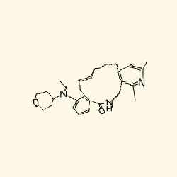 CCN(c1cccc2c1C/C=C/CCCc1cc(C)nc(C)c1CNC2=O)C1CCOCC1